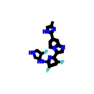 Cc1c[nH]c(-c2ccn3c(-c4nc(NC5CNCC5F)c(F)cc4F)cnc3c2)n1